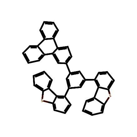 c1ccc2c(c1)sc1cccc(-c3cc(-c4ccc5c6ccccc6c6ccccc6c5c4)cc(-c4cccc5sc6ccccc6c45)c3)c12